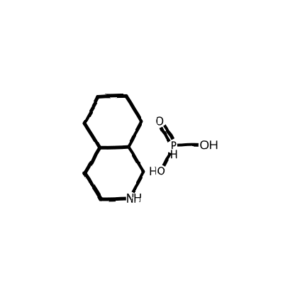 C1CCC2CNCCC2C1.O=[PH](O)O